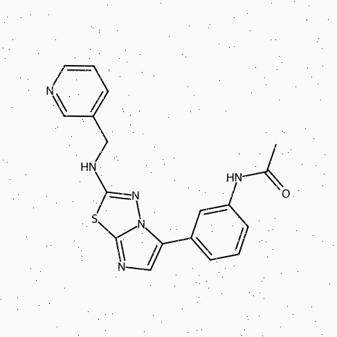 CC(=O)Nc1cccc(-c2cnc3sc(NCc4cccnc4)nn23)c1